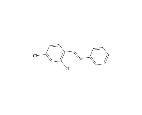 Clc1ccc(/C=N/c2ccccc2)c(Cl)c1